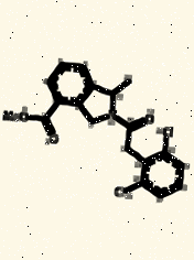 COC(=O)c1cccc2c1CN(C(=O)Cc1c(Cl)cccc1Cl)C2C